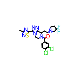 Cc1nsc(-c2nnc3n2CCN(C(=O)c2ccc(Cl)c(Cl)c2)C3CCN2CCC(F)(F)C2)n1